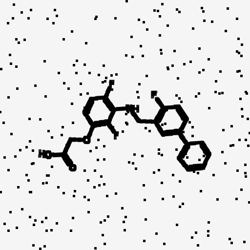 O=C(O)COc1ccc(F)c(NCc2cc(-c3ccccc3)ccc2F)c1F